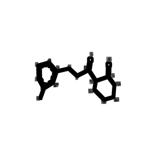 Cc1cccc(CCC(=O)C2CCCCC2=O)c1